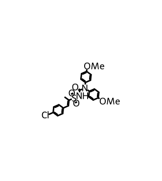 COc1ccc(N(C(=O)NS(=O)(=O)C(C)=Cc2ccc(Cl)cc2)c2ccc(OC)cc2)cc1